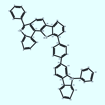 c1ccc(-c2nc3ccccc3c3c2ccc2c4cccc(-c5ccc(-c6ccc7c8ccccc8n(-c8ccccc8)c7c6)cc5)c4sc23)cc1